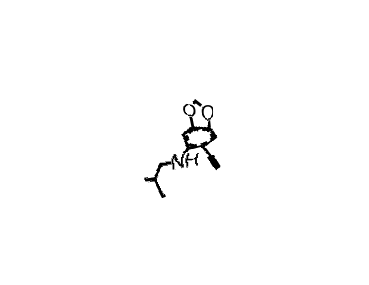 C#Cc1cc2c(cc1NCC(C)C)OCO2